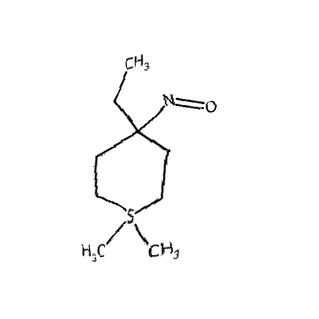 CCC1(N=O)CCS(C)(C)CC1